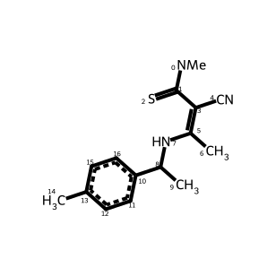 CNC(=S)C(C#N)=C(C)NC(C)c1ccc(C)cc1